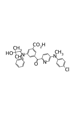 CN(c1ccc(Cl)cc1)c1ccc(C(=O)c2cc(C(=O)O)cc(N(CC(C)(C)O)c3ccccc3)c2)nc1